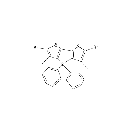 Cc1c(Br)sc2c1S(c1ccccc1)(c1ccccc1)c1c-2sc(Br)c1C